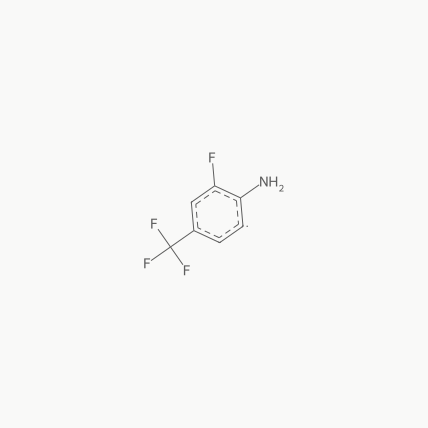 Nc1[c]cc(C(F)(F)F)cc1F